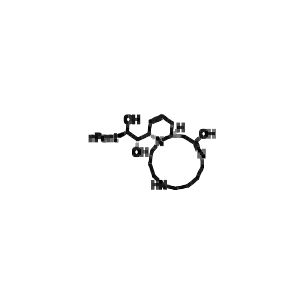 CCCCC[C@@H](O)[C@@H](O)[C@@H]1C=CC[C@H]2CC(O)=NCCCCNCCCN21